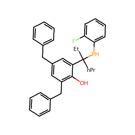 CCCC(CC)(Pc1ccccc1F)c1cc(Cc2ccccc2)cc(Cc2ccccc2)c1O